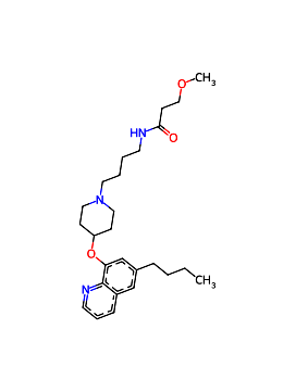 CCCCc1cc(OC2CCN(CCCCNC(=O)CCOC)CC2)c2ncccc2c1